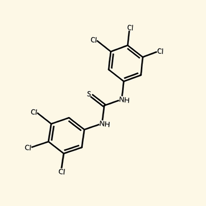 S=C(Nc1cc(Cl)c(Cl)c(Cl)c1)Nc1cc(Cl)c(Cl)c(Cl)c1